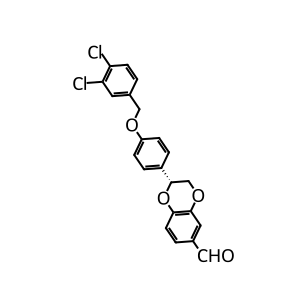 O=Cc1ccc2c(c1)OC[C@@H](c1ccc(OCc3ccc(Cl)c(Cl)c3)cc1)O2